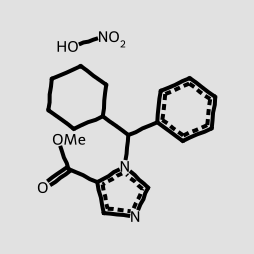 COC(=O)c1cncn1C(c1ccccc1)C1CCCCC1.O=[N+]([O-])O